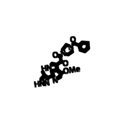 COc1cnc(-c2n[nH]cc2C)c2[nH]cc(C(=O)C(=O)N3CCN(C(=O)c4ccccc4)CC3)c12